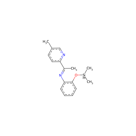 CC(=Nc1ccccc1O[SiH](C)C)c1ccc(C)cn1